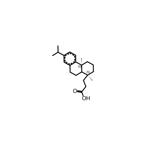 CC(C)c1ccc2c(c1)CCC1[C@](C)(CCC(=O)O)CCC[C@]21C